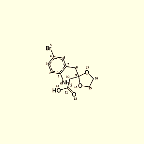 Nc1ccc(Br)cc1CC1(CC(=O)O)OCCO1